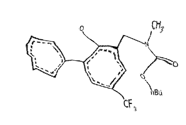 CCCCOC(=O)N(C)Cc1cc(C(F)(F)F)cc(-c2ccccc2)c1[O]